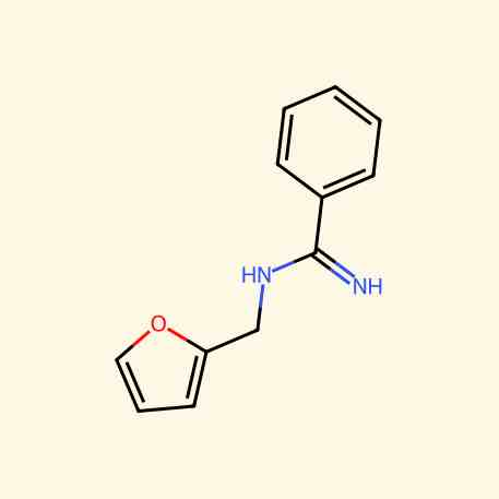 N=C(NCc1ccco1)c1ccccc1